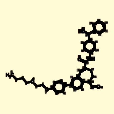 CCCCOCCOc1ccc(-c2ccc3c(c2)C=C(C(=O)Nc2ccc(C(O)c4ccccn4)cc2)CCN3C=O)cc1